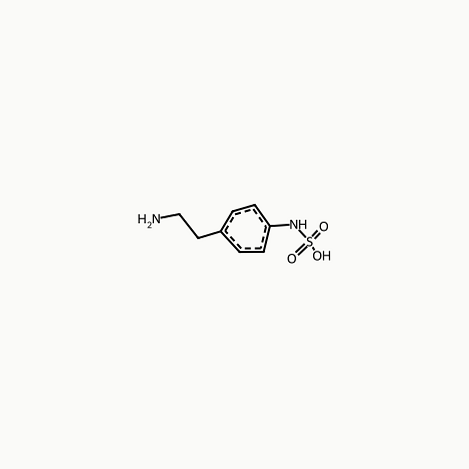 NCCc1ccc(NS(=O)(=O)O)cc1